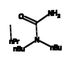 CCCC.CCCCN(CCCC)C(N)=O